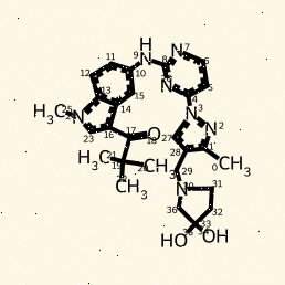 Cc1nn(-c2ccnc(Nc3ccc4c(c3)c(C(=O)C(C)(C)C)cn4C)n2)cc1CN1CCC(O)(O)C1